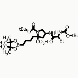 CCC(NC(=O)OC(C)(C)C)C(=O)NC1CN(C(=O)OC(C)(C)C)C(CCCCB2OC(C)(C)C(C)(C)O2)(C(=O)O)C1